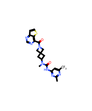 Cc1nc(NC(=O)N(C)C2CC3(C2)CN(C(=O)c2ncnc4ccsc24)C3)cc(C(F)(F)F)n1